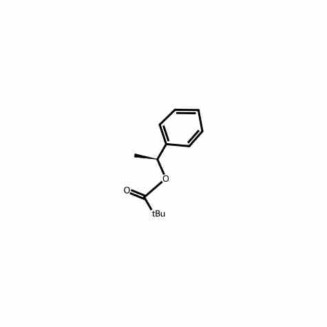 C[C@H](OC(=O)C(C)(C)C)c1ccccc1